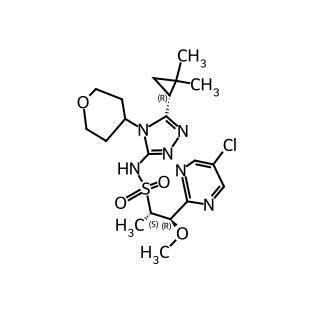 CO[C@H](c1ncc(Cl)cn1)[C@H](C)S(=O)(=O)Nc1nnc([C@@H]2CC2(C)C)n1C1CCOCC1